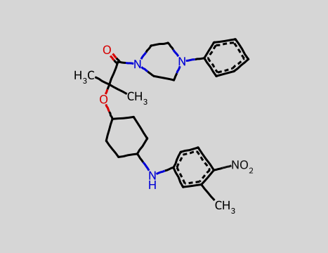 Cc1cc(NC2CCC(OC(C)(C)C(=O)N3CCN(c4ccccc4)CC3)CC2)ccc1[N+](=O)[O-]